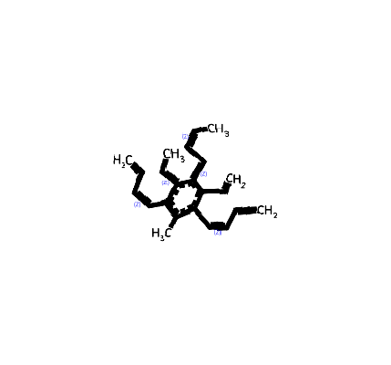 C=C/C=C\c1c(C)c(/C=C\C=C)c(=C/C)/c(=C\C=C/C)c1C=C